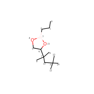 CCCB1OCC(C(C)(C)CC(C)(C)C)O1